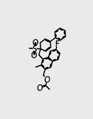 CC(=O)OCc1cc2ccc(F)cc2c(CC2(S(C)(=O)=O)C=CC(c3ccccc3)=CC2)c1C